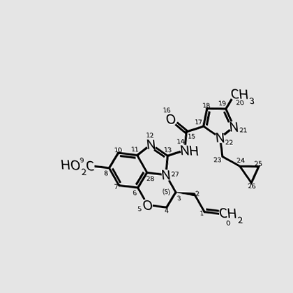 C=CC[C@H]1COc2cc(C(=O)O)cc3nc(NC(=O)c4cc(C)nn4CC4CC4)n1c23